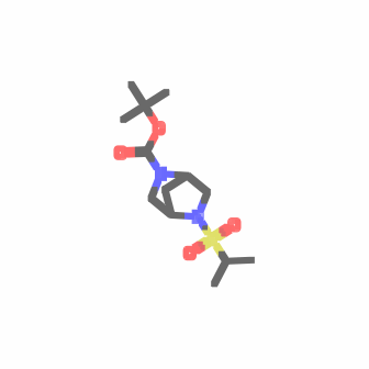 CC(C)S(=O)(=O)N1CC2CC1CN2C(=O)OC(C)(C)C